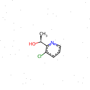 C[C@H](O)c1ncccc1Cl